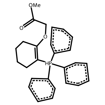 COC(=O)COC1=C([PH](c2ccccc2)(c2ccccc2)c2ccccc2)CCCC1